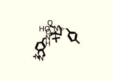 Cc1ccc(C[C@H]2CN(C(=O)O)[C@](C(=O)NCc3ccc4c(cnn4C)c3)(C(C)(C)C)C2)cc1